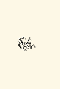 Cn1nc(OC(F)(F)F)cc1N=C=N[C@H]1CCc2sc(NC(=O)[C@H]3C[C@H]3F)c(C(=O)NCC3CC3)c2C1